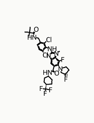 Cn1c(Nc2c(Cl)ccc(CNC(=O)C(C)(C)C)c2Cl)nc2cc(C(=O)N[C@H]3CC[C@H](C(F)(F)F)CC3)c(N3CC[C@@H](F)C3)c(F)c21